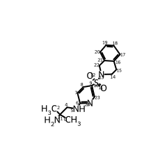 CC(C)(N)CNc1ccc(S(=O)(=O)N2CCc3ccccc3C2)cn1